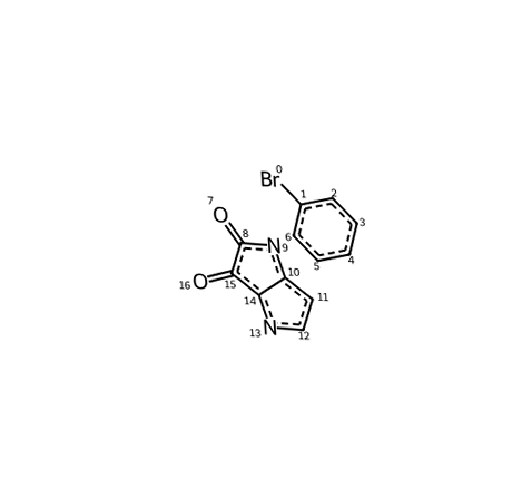 Brc1ccccc1.O=c1nc2ccnc-2c1=O